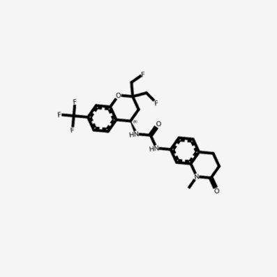 CN1C(=O)CCc2ccc(NC(=O)N[C@@H]3CC(CF)(CF)Oc4cc(C(F)(F)F)ccc43)cc21